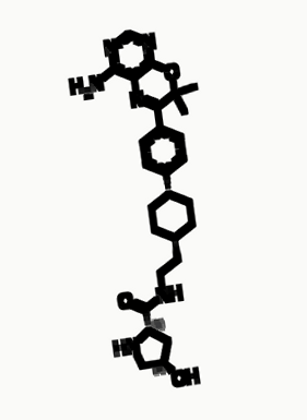 CC1(C)Oc2ncnc(N)c2N=C1c1ccc([C@H]2CC[C@H](CCNC(=O)[C@@H]3C[C@@H](O)CN3)CC2)cc1